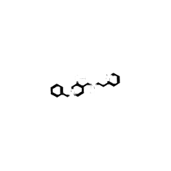 OC1=C(CNCCc2ccccn2)C=CN(Cc2ccccc2)C1